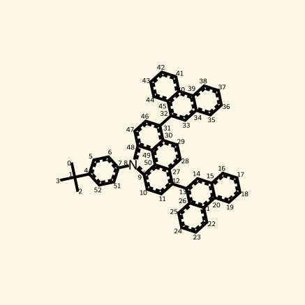 CC(C)(C)c1ccc(-n2c3ccc(-c4cc5ccccc5c5ccccc45)c4ccc5c(-c6cc7ccccc7c7ccccc67)ccc2c5c43)cc1